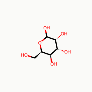 OC[C@H]1O[C](O)[C@H](O)[C@H](O)[C@H]1O